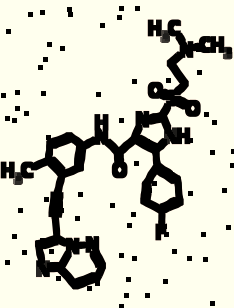 Cc1ccc(NC(=O)c2nc(S(=O)(=O)CCN(C)C)[nH]c2-c2ccc(F)cc2)cc1C#Cc1cnc2cccnn12